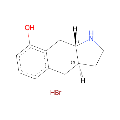 Br.Oc1cccc2c1C[C@@H]1NCC[C@H]1C2